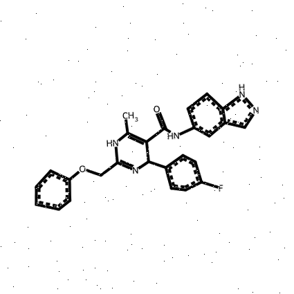 CC1=C(C(=O)Nc2ccc3[nH]ncc3c2)C(c2ccc(F)cc2)N=C(COc2ccccc2)N1